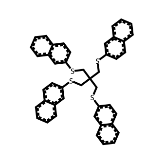 c1ccc2cc(SCC(CSc3ccc4ccccc4c3)(CSc3ccc4ccccc4c3)CSc3ccc4ccccc4c3)ccc2c1